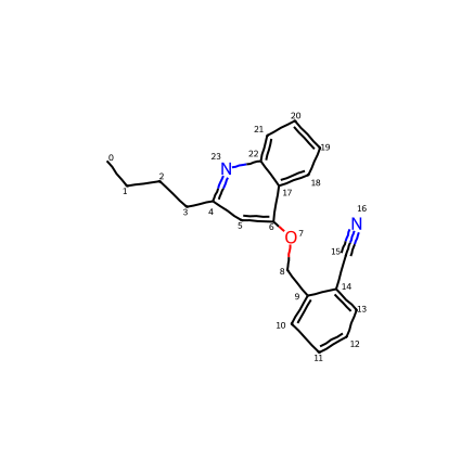 CCCCc1cc(OCc2ccccc2C#N)c2ccccc2n1